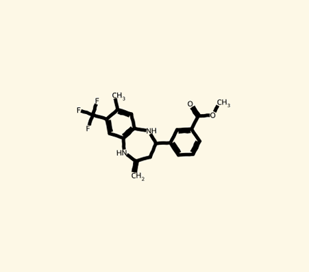 C=C1CC(c2cccc(C(=O)OC)c2)Nc2cc(C)c(C(F)(F)F)cc2N1